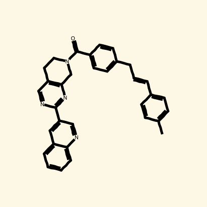 Cc1ccc(/C=C/Cc2ccc(C(=O)N3CCc4cnc(-c5cnc6ccccc6c5)nc4C3)cc2)cc1